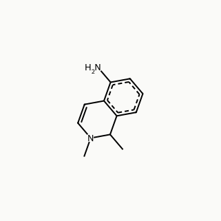 CC1c2cccc(N)c2C=CN1C